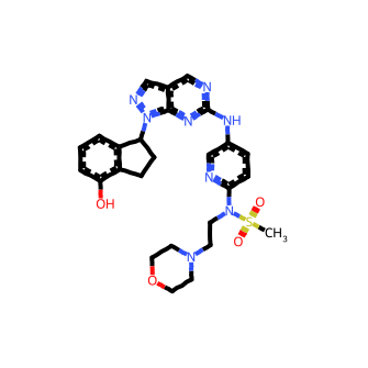 CS(=O)(=O)N(CCN1CCOCC1)c1ccc(Nc2ncc3cnn(C4CCc5c(O)cccc54)c3n2)cn1